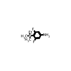 CC[Si](C)(C)c1c(F)cc(N)cc1F